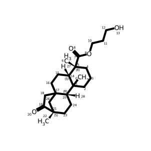 CC12CCC[C@@](C)(C(=O)OCCCO)[C@H]1CCC13CC(=O)[C@@](C)(CC[C@H]12)C3